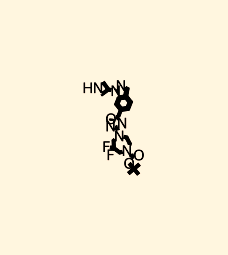 CC(C)(C)OC(=O)N1CCN(c2noc(-c3ccc4cnn(C5CNC5)c4c3)n2)CC(F)(F)C1